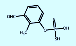 Cc1c(C=O)cccc1OP(O)(=S)S